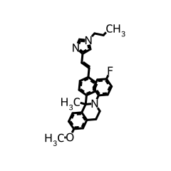 CCCn1cnc(C=Cc2ccc(C3(C)c4ccc(OC)cc4CCN3c3ccc(F)cc3)cc2)c1